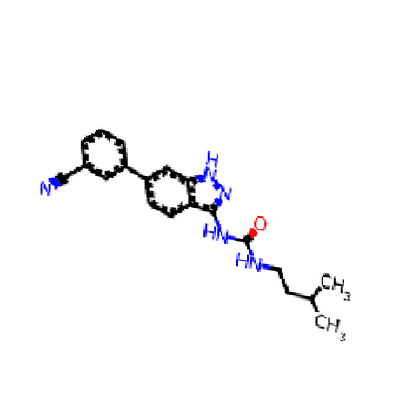 CC(C)CCNC(=O)Nc1n[nH]c2cc(-c3cccc(C#N)c3)ccc12